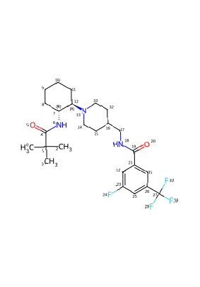 CC(C)(C)C(=O)N[C@@H]1CCCC[C@H]1N1CCC(CNC(=O)c2cc(F)cc(C(F)(F)F)c2)CC1